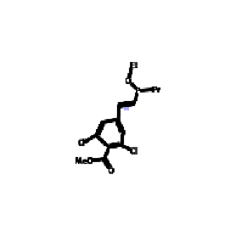 CCOP(/C=C/c1cc(Cl)c(C(=O)OC)c(Cl)c1)C(C)C